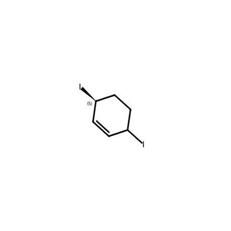 IC1C=C[C@@H](I)CC1